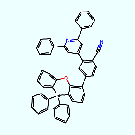 N#Cc1ccc(-c2cccc3c2Oc2ccccc2[Si]3(c2ccccc2)c2ccccc2)cc1-c1cc(-c2ccccc2)nc(-c2ccccc2)c1